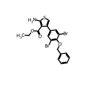 CCOC(=O)c1c(-c2cc(Br)c(OCc3ccccc3)c(Br)c2)csc1N